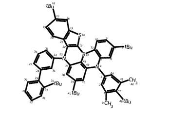 Cc1cc(N2c3cc(C(C)(C)C)ccc3B3c4sc5cc(C(C)(C)C)ccc5c4N(c4cccc(-c5ccccc5C(C)(C)C)c4)c4cc(C(C)(C)C)cc2c43)cc(C)c1C(C)(C)C